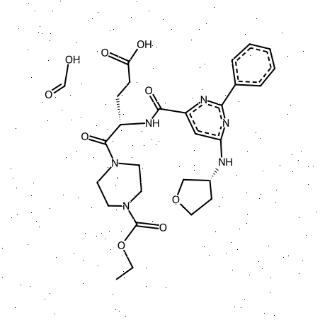 CCOC(=O)N1CCN(C(=O)[C@H](CCC(=O)O)NC(=O)c2cc(N[C@@H]3CCOC3)nc(-c3ccccc3)n2)CC1.O=CO